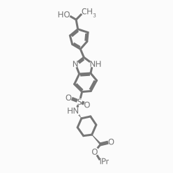 CC(C)OC(=O)[C@H]1CC[C@H](NS(=O)(=O)c2ccc3[nH]c(-c4ccc(C(C)O)cc4)nc3c2)CC1